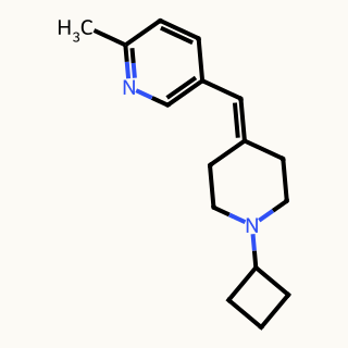 Cc1ccc(C=C2CCN(C3CCC3)CC2)cn1